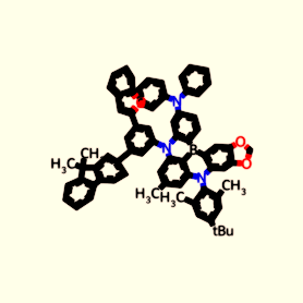 Cc1cc2c3c(c1)N(c1c(C)cc(C(C)(C)C)cc1C)c1cc4c(cc1B3c1ccc(N(c3ccccc3)c3ccccc3)cc1N2c1cc(-c2ccc3c(c2)C(C)(C)c2ccccc2-3)cc(-c2cc3ccccc3o2)c1)OCO4